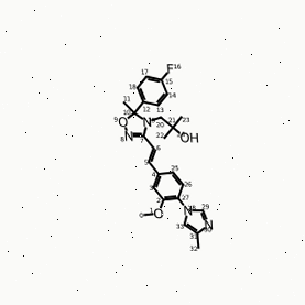 COc1cc(C=CC2=NOC(C)(c3ccc(F)cc3)N2CC(C)(C)O)ccc1-n1cnc(C)c1